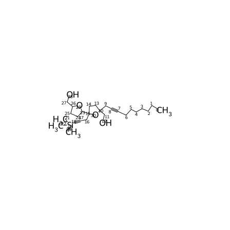 CCCCCCCC#CCC1(CO)CCC(CC#C[Si](C)(C)C)(C2CCC(CO)O2)O1